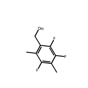 Cc1c(F)c(C)c(CO)c(F)c1F